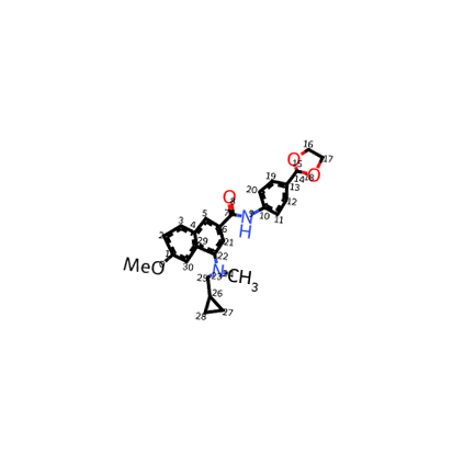 COc1ccc2cc(C(=O)Nc3ccc(C4OCCO4)cc3)cc(N(C)CC3CC3)c2c1